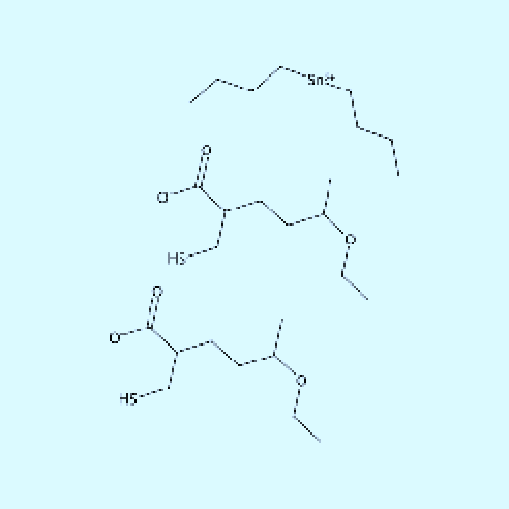 CCC[CH2][Sn+2][CH2]CCC.CCOC(C)CCC(CS)C(=O)[O-].CCOC(C)CCC(CS)C(=O)[O-]